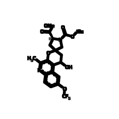 COC(=O)[C@@H]1CC2(CC(O)c3c(c(C)nc4ccc(OC(F)(F)F)cc34)O2)CN1C(=O)OC(C)(C)C